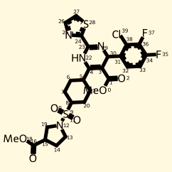 COC(=O)C1=C(C2CCC(S(=O)(=O)N3CCC(C(=O)OC)C3)CC2)NC(c2nccs2)=NC1c1ccc(F)c(F)c1Cl